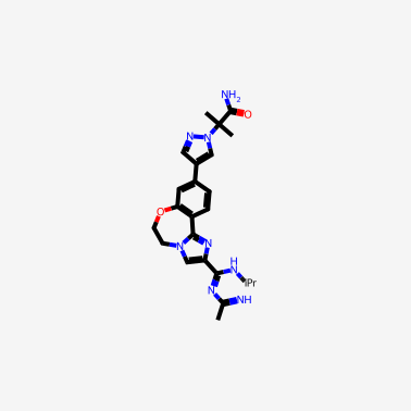 CC(=N)/N=C(\NC(C)C)c1cn2c(n1)-c1ccc(-c3cnn(C(C)(C)C(N)=O)c3)cc1OCC2